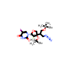 CC(C)(C)[Si](C)(C)OCC(CN=[N+]=[N-])[C@@]1(O[Si](C)(C)C(C)(C)C)CO[C@@H](n2cc(I)c(=O)[nH]c2=O)[C@@H]1F